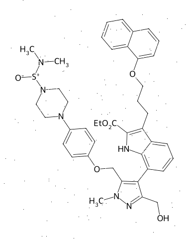 CCOC(=O)c1[nH]c2c(-c3c(CO)nn(C)c3COc3ccc(N4CCN([S+]([O-])N(C)C)CC4)cc3)cccc2c1CCCOc1cccc2ccccc12